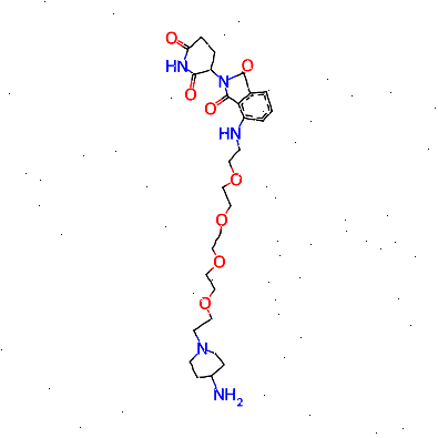 NC1CCN(CCOCCOCCOCCOCCNc2cccc3c2C(=O)N(C2CCC(=O)NC2=O)C3=O)CC1